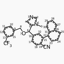 Cn1cncc1C(OCc1cccc(C(F)(F)F)c1)c1ccc(C#N)c(-c2cccc3ccccc23)c1